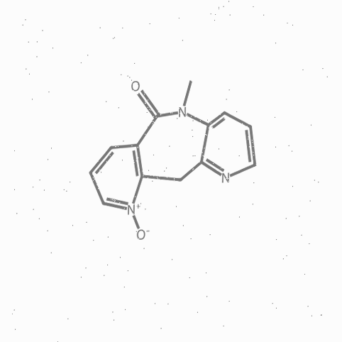 CN1C(=O)c2ccc[n+]([O-])c2Cc2ncccc21